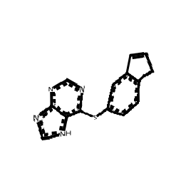 C1=Cc2cc(Sc3ncnc4nc[nH]c34)ccc2C1